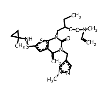 C=CN(C)CCC(CC)CN1C(=O)N(Cc2cnn(C)c2)C(=C)c2cc(SNC3(C)CC3)sc21